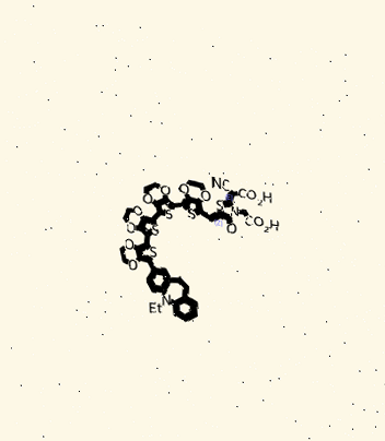 CCN1c2ccccc2CCc2cc(-c3sc(-c4sc(-c5sc(-c6sc(/C=c7\s/c(=C(\C#N)C(=O)O)n(CC(=O)O)c7=O)c7c6OCCO7)c6c5OCCO6)c5c4OCCO5)c4c3OCCO4)ccc21